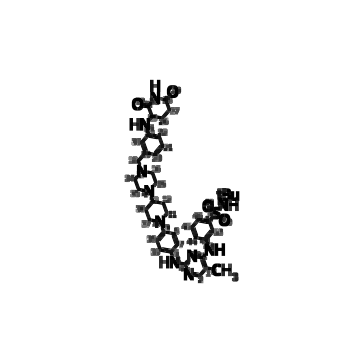 Cc1cnc(Nc2ccc(N3CCC(N4CCN(Cc5cccc(NC6CCC(=O)NC6=O)c5)CC4)CC3)cc2)nc1Nc1cccc(S(=O)(=O)NC(C)(C)C)c1